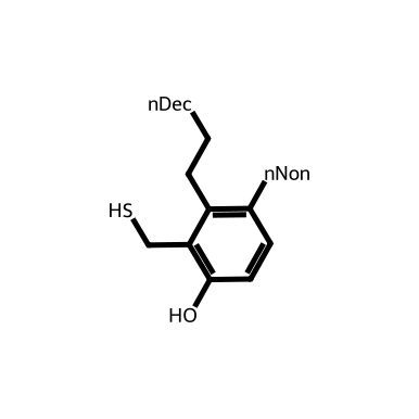 CCCCCCCCCCCCc1c(CCCCCCCCC)ccc(O)c1CS